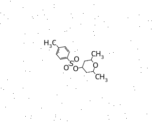 Cc1ccc(S(=O)(=O)OC2CC(C)OC(C)C2)cc1